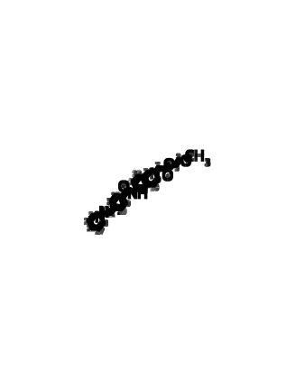 COCCOC(=O)CN1CCc2cc(NC(=O)c3ccc(C=NN4CCCCC4)cc3)ccc2C1